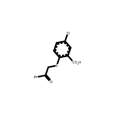 CC(C)C(=O)CSc1ccc(Cl)cc1C(=O)O